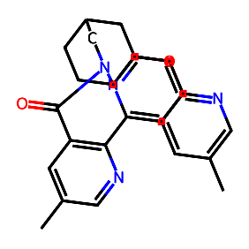 Cc1ccc(OC2CC3CCC2N(C(=O)c2cc(C)cnc2-c2ccccn2)C3)nc1